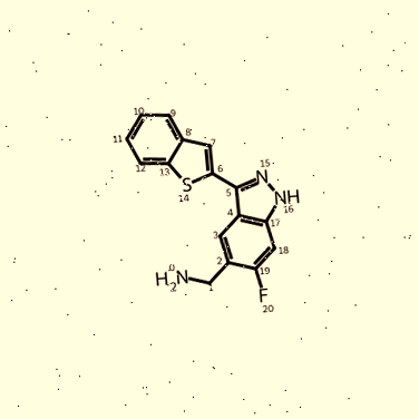 NCc1cc2c(-c3cc4ccccc4s3)n[nH]c2cc1F